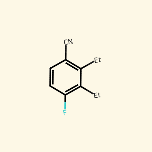 CCc1c(F)ccc(C#N)c1CC